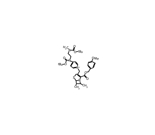 COc1ccc(COC(=O)C2=C(C[n+]3ccc(N(CCN(C)C(=O)OC(C)(C)C)C(=O)OC(C)(C)C)cc3)CSC3C(C)C(C)N23)cc1